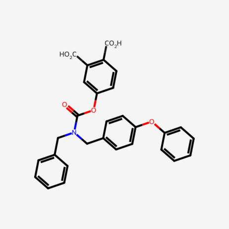 O=C(O)c1ccc(OC(=O)N(Cc2ccccc2)Cc2ccc(Oc3ccccc3)cc2)cc1C(=O)O